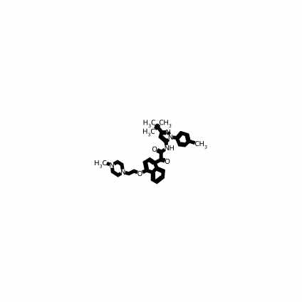 Cc1ccc(-n2nc(C(C)(C)C)cc2NC(=O)C(=O)c2ccc(OCCN3CCN(C)CC3)c3ccccc23)cc1